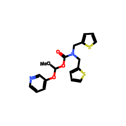 COC(OC(=O)N(Cc1cccs1)Cc1cccs1)Oc1cccnc1